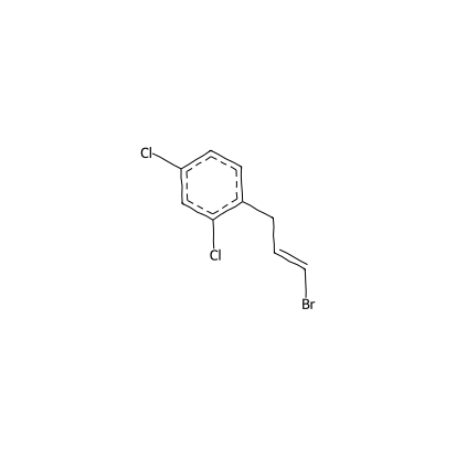 Clc1ccc(C/C=C/Br)c(Cl)c1